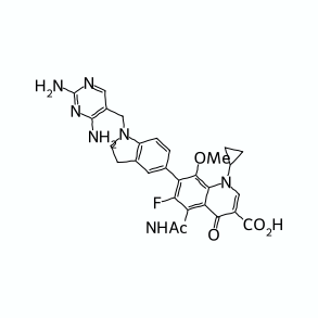 COc1c(-c2ccc3c(c2)CCN3Cc2cnc(N)nc2N)c(F)c(NC(C)=O)c2c(=O)c(C(=O)O)cn(C3CC3)c12